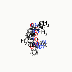 C=C(C)[C@H](NC(=O)[C@@H](NC(=O)c1cnccn1)C1CCCCC1)C(=O)N1C[C@@H]2CC3CC[C@@H](C(=O)C(=O)N[C@@H](C)C(C)C)NC(=O)[C@@H]1[C@H]2C3